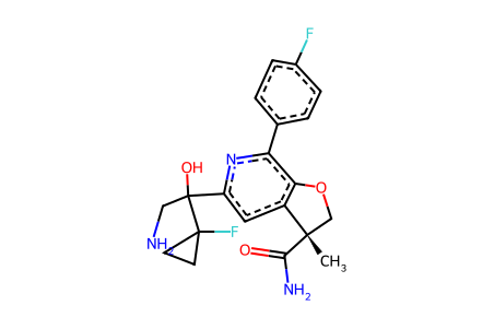 C[C@]1(C(N)=O)COc2c1cc(C(O)(CN)C1(F)CC1)nc2-c1ccc(F)cc1